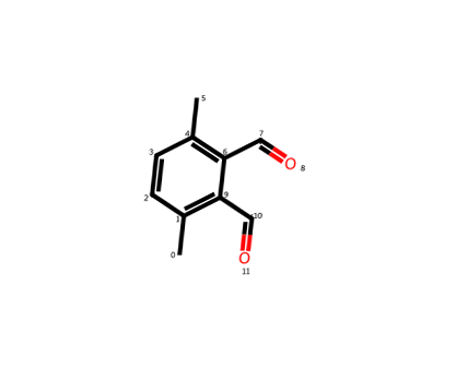 Cc1ccc(C)c([C]=O)c1[C]=O